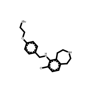 CC(C)(C)CCOc1ccc(CNc2c(Cl)ccc3c2CCNCC3)cc1